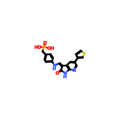 O=C1Nc2ncc(-c3ccsc3)cc2C1=CNc1ccc(CP(=O)(O)O)cc1